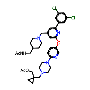 CC(=O)NCC1CCN(Cc2cc(Oc3ccc(N4CCN(CC5(COC(C)=O)CC5)CC4)nc3)nc(-c3cc(Cl)cc(Cl)c3)c2)CC1